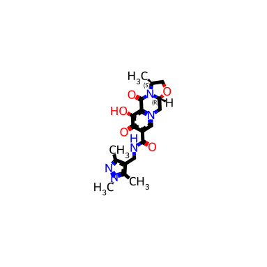 Cc1nn(C)c(C)c1CNC(=O)c1cn2c(c(O)c1=O)C(=O)N1[C@@H](C)CO[C@@H]1C2